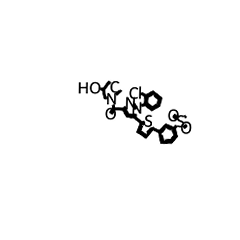 CS(=O)(=O)c1cccc(-c2ccc(-c3cc(C(=O)N4CCCC(O)C4)nn3-c3ccccc3Cl)s2)c1